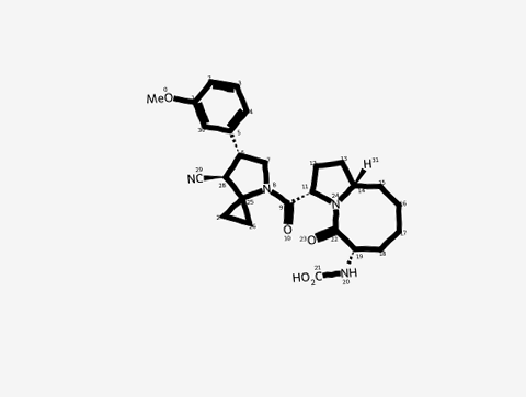 COc1cccc([C@@H]2CN(C(=O)[C@@H]3CC[C@@H]4CCCC[C@H](NC(=O)O)C(=O)N43)C3(CC3)[C@H]2C#N)c1